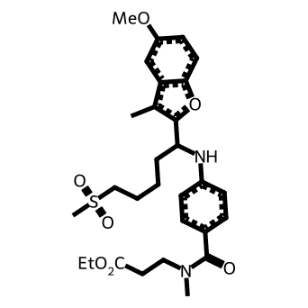 CCOC(=O)CCN(C)C(=O)c1ccc(NC(CCCCS(C)(=O)=O)c2oc3ccc(OC)cc3c2C)cc1